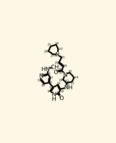 CNc1cc(-c2c[nH]c(=O)c(N[C@@H]3CCCN(C(=O)C=CCN4CCCCC4)C3)c2)ccn1